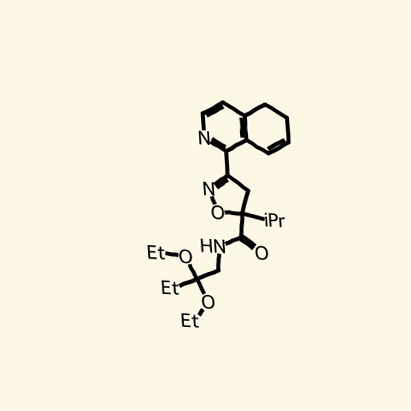 CCOC(CC)(CNC(=O)C1(C(C)C)CC(c2nccc3c2C=CCC3)=NO1)OCC